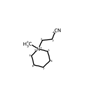 C[N+]1(CCC#N)CCCCC1